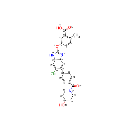 Cc1ccc(Oc2nc3cc(-c4ccc(C(=O)N5CCC(O)CC5)cc4)c(Cl)cc3[nH]2)cc1C(=O)O